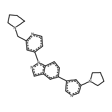 c1cc(-n2ncc3cc(-c4cncc(N5CCCC5)c4)ccc32)cc(CN2CCCC2)n1